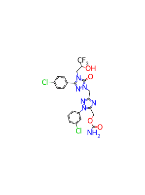 NC(=O)OCc1nc(Cn2nc(-c3ccc(Cl)cc3)n(CC(O)C(F)(F)F)c2=O)nn1-c1cccc(Cl)c1